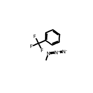 CN=[N+]=[N-].FC(F)(F)c1ccccc1